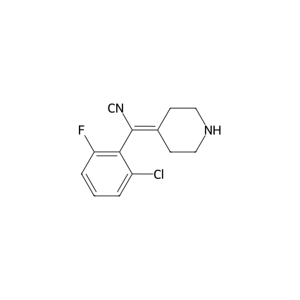 [C-]#[N+]C(=C1CCNCC1)c1c(F)cccc1Cl